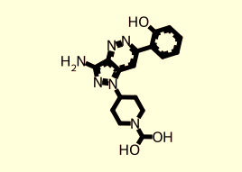 Nc1nn(C2CCN(C(O)O)CC2)c2cc(-c3ccccc3O)nnc12